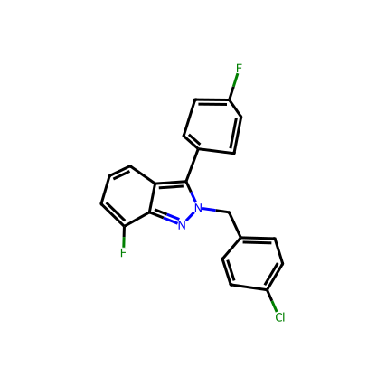 Fc1ccc(-c2c3cccc(F)c3nn2Cc2ccc(Cl)cc2)cc1